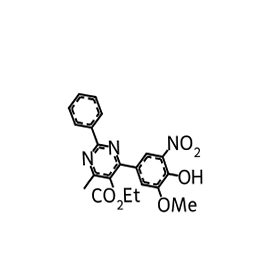 CCOC(=O)c1c(C)nc(-c2ccccc2)nc1-c1cc(OC)c(O)c([N+](=O)[O-])c1